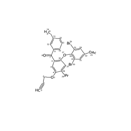 C#CCOc1cc(C(=O)c2cccc(C)c2)c(Oc2c(Br)cc(OC(C)=O)cc2Br)cc1C(C)C